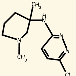 CN1CCCC(C)(Nc2ccc(Cl)nn2)C1